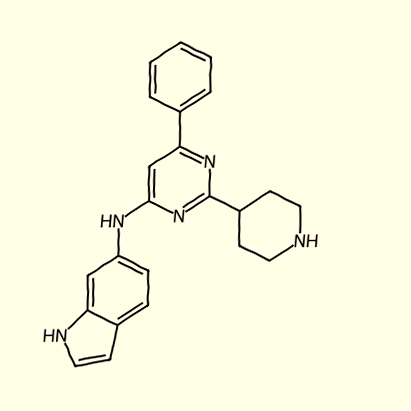 c1ccc(-c2cc(Nc3ccc4cc[nH]c4c3)nc(C3CCNCC3)n2)cc1